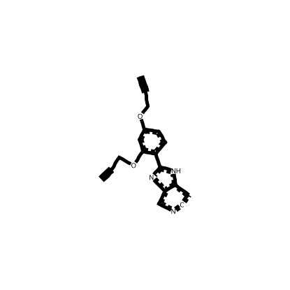 C#CCOc1ccc(-c2nc3cnccc3[nH]2)c(OCC#C)c1